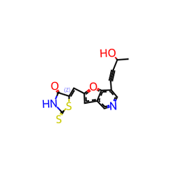 CC(O)C#Cc1cncc2cc(/C=C3\SC(=S)NC3=O)oc12